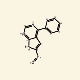 O=Pc1cc2c(-c3ccccc3)ncnc2[nH]1